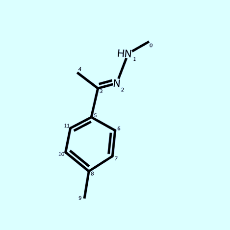 CN/N=C(\C)c1ccc(C)cc1